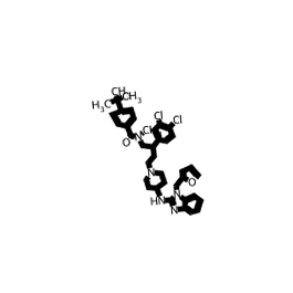 CN(CC(CCN1CCC(Nc2nc3ccccc3n2Cc2ccco2)CC1)c1ccc(Cl)c(Cl)c1)C(=O)c1ccc(C(C)(C)C)cc1